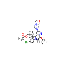 CCn1c(-c2cc(N3CCN4CCOCC4C3)cnc2[C@H](C)OC)c(CC(C)(C)COC(C)=O)c2cc(Br)ccc21